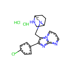 Cl.Cl.Clc1ccc(-c2nc3ncccn3c2CN2CC3CCC2CN3)cc1